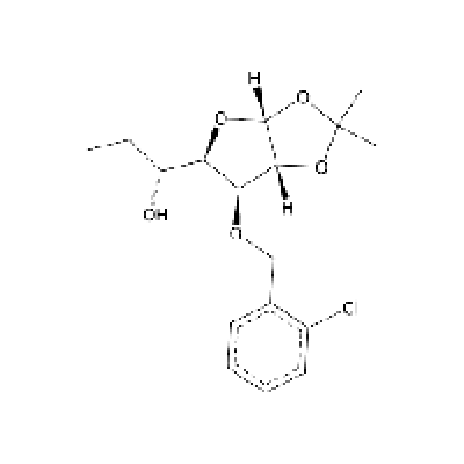 CC[C@@H](O)[C@H]1O[C@@H]2OC(C)(C)O[C@@H]2[C@H]1OCc1ccccc1Cl